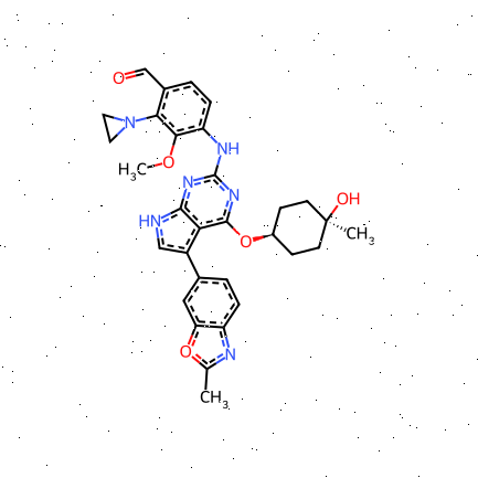 COc1c(Nc2nc(O[C@H]3CC[C@@](C)(O)CC3)c3c(-c4ccc5nc(C)oc5c4)c[nH]c3n2)ccc(C=O)c1N1CC1